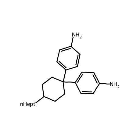 CCCCCCCC1CCC(c2ccc(N)cc2)(c2ccc(N)cc2)CC1